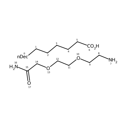 CCCCCCCCCCCCCCCC(=O)O.NCCOCCOCC(N)=O